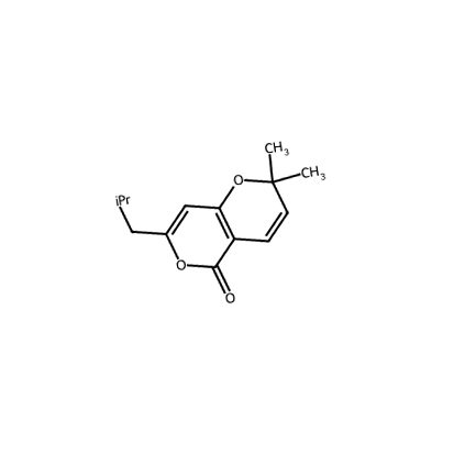 CC(C)Cc1cc2c(c(=O)o1)C=CC(C)(C)O2